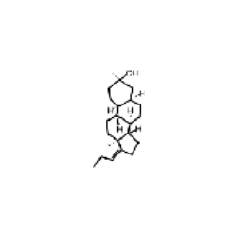 CC/C=C1/CC[C@H]2[C@@H]3CC[C@@H]4C[C@](C)(O)CC[C@@H]4[C@H]3CC[C@]12C